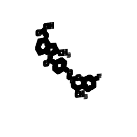 Cc1cc2c(CC(=O)O)cccc2n1C(=O)c1ccc(OCN2CC(C)c3ccc(F)cc3O2)cc1